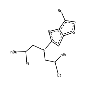 CCCCC(CC)CN(CC(CC)CCCC)c1cc2scc(Br)c2s1